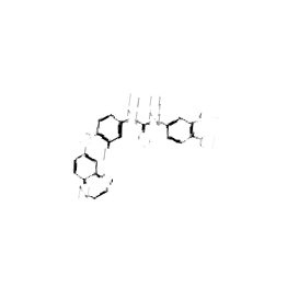 O=C(Nc1ccc(Oc2ccc3nccnc3c2)c(F)c1)Nc1ccc(Cl)c(C(F)(F)F)c1